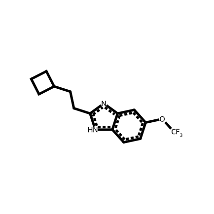 FC(F)(F)Oc1ccc2[nH]c(CCC3CCC3)nc2c1